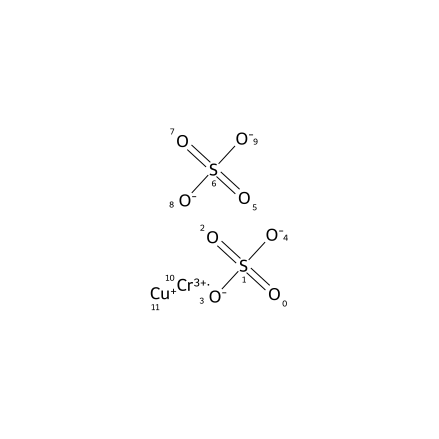 O=S(=O)([O-])[O-].O=S(=O)([O-])[O-].[Cr+3].[Cu+]